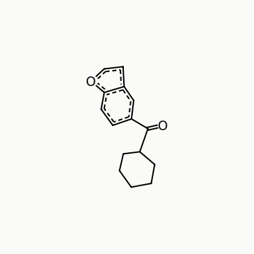 O=C(c1ccc2occc2c1)C1CCCCC1